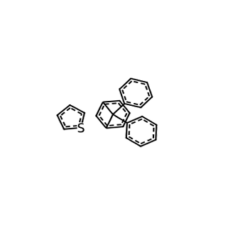 C1=CC2=CC(=C1)C2(c1ccccc1)c1ccccc1.c1ccsc1